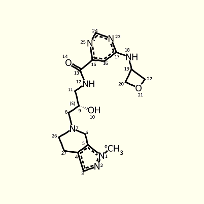 Cn1ncc2c1CN(C[C@@H](O)CNC(=O)c1cc(NC3COC3)ncn1)CC2